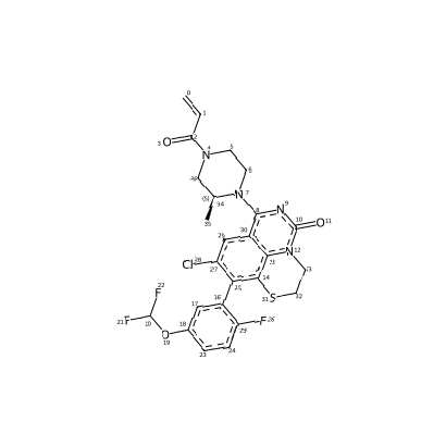 C=CC(=O)N1CCN(c2nc(=O)n3c4c(c(-c5cc(OC(F)F)ccc5F)c(Cl)cc24)SCC3)[C@@H](C)C1